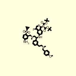 COc1ccc(CN(C)CCc2cccc(C(CN(C)Cc3cc(N)ccc3S(=O)(=O)C3CC3)Nc3ccc4c(N(C(=O)OC(C)(C)C)C(=O)OC(C)(C)C)ncc(F)c4c3)c2)cc1